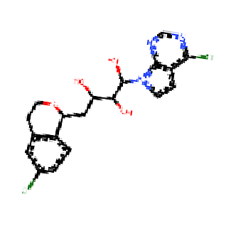 OC(CC1OCCc2cc(Cl)ccc21)C(O)C(O)n1ccc2c(Cl)ncnc21